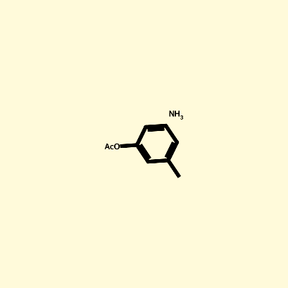 CC(=O)Oc1cccc(C)c1.N